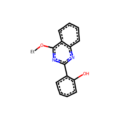 CCOc1nc(-c2ccccc2O)nc2ccccc12